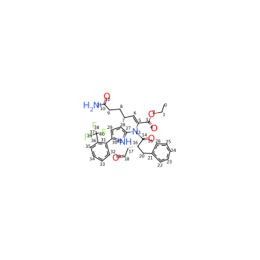 CCOC(=O)/C(=C/CCCC(N)=O)N(C(=O)[C@@H](CC=O)Cc1ccccc1)c1ccc(-c2ccccc2C(F)(F)F)[nH]1